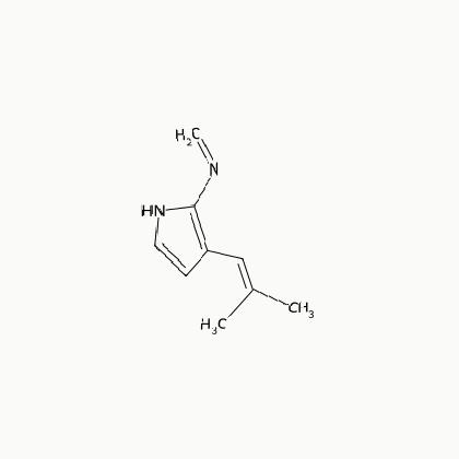 C=Nc1[nH]ccc1C=C(C)C